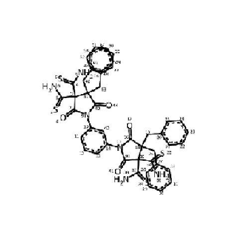 NC(=S)C1(C(N)=S)C(=O)N(c2cccc(N3C(=O)C(Cc4ccccc4)(Cc4ccccc4)C(C(N)=S)(C(N)=S)C3=O)c2)C(=O)C1(Cc1ccccc1)Cc1ccccc1